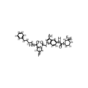 CC(=O)c1cn(CC(=O)N2C[C@H](F)C[C@H]2C(=O)NCCCCc2ccccc2)c2ccc(NC(=O)N3CCCC(F)(F)C3)cc12